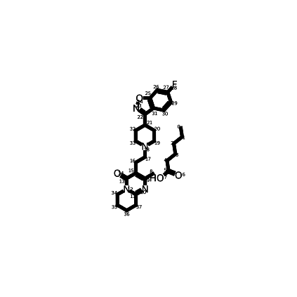 CCCCCC(=O)O.Cc1nc2n(c(=O)c1CCN1CCC(c3noc4cc(F)ccc34)CC1)CCCC2